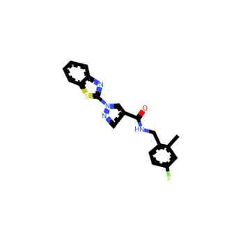 Cc1cc(F)ccc1CNC(=O)c1cnn(-c2nc3ccccc3s2)c1